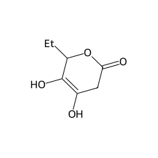 CCC1OC(=O)CC(O)=C1O